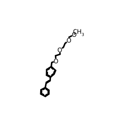 COCOCCOCCOCc1ccc(C=Cc2ccccc2)cc1